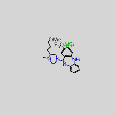 COCCCC1CN(C2=Nc3ccccc3Nc3ccc(C(F)(F)F)cc32)CCN1C.Cl.Cl